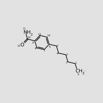 [CH2]CCCCCc1ccc(C(N)=O)cc1